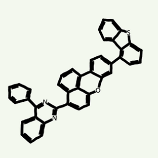 c1ccc(-c2nc(-c3ccc4c5c(cccc35)-c3ccc(-c5cccc6sc7ccccc7c56)cc3O4)nc3ccccc23)cc1